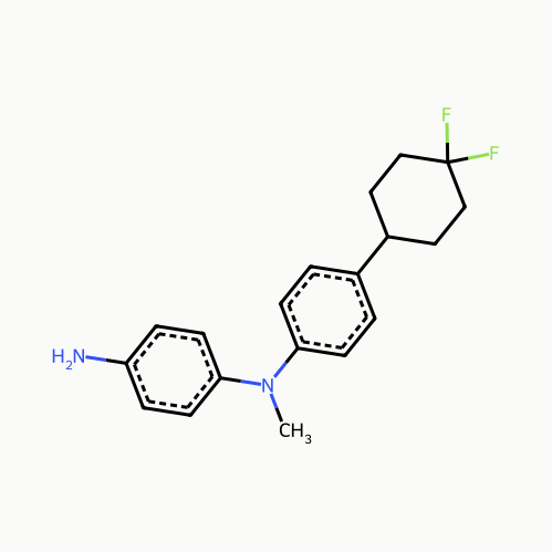 CN(c1ccc(N)cc1)c1ccc(C2CCC(F)(F)CC2)cc1